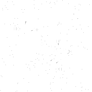 CC1=C[C@H]2O[C@@H]3C[C@@H](OC(=O)/C=C\C=C\[C@H](O)[C@H](C)O)[C@@](C)(C34CO4)[C@@]2(CO)CC1